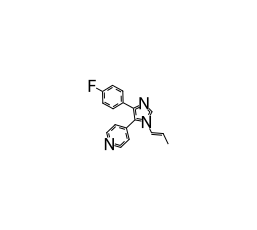 C/C=C/n1cnc(-c2ccc(F)cc2)c1-c1ccncc1